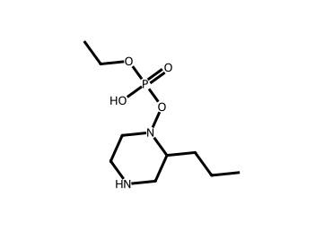 CCCC1CNCCN1OP(=O)(O)OCC